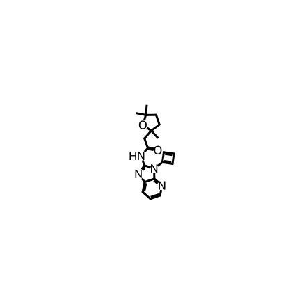 CC1(C)CCC(C)(CC(=O)Nc2nc3cccnc3n2C2=CC=C2)O1